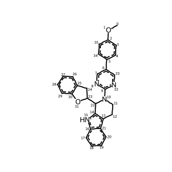 COc1ccc(-c2cnc(N3CCc4c([nH]c5ccccc45)C3C3Cc4ccccc4O3)nc2)cc1